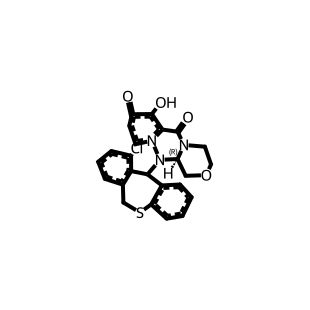 O=C1c2c(O)c(=O)ccn2N(C2c3ccccc3SCc3cccc(Cl)c32)[C@@H]2COCCN12